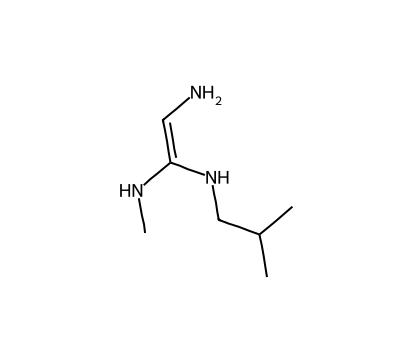 CN/C(=C/N)NCC(C)C